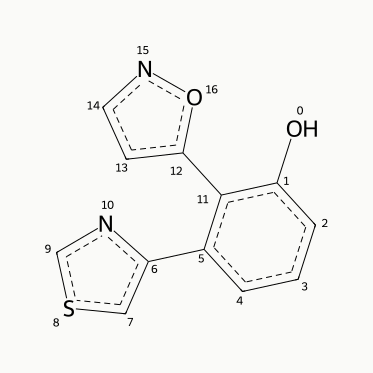 Oc1cccc(-c2cscn2)c1-c1ccno1